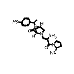 CC(c1ccc(S)cc1)N1C(=O)[C@@H]2C[C@H]1CN2CC(N)C(=O)N1CCCC1C#N